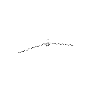 CCCCCCCCCCCCCCCn1cc[n+](CCCCCCCCCCCCC)c1CC